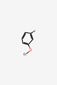 CCOc1cccc(I)c1